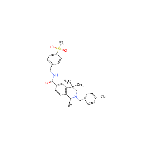 CCS(=O)(=O)c1ccc(CNC(=O)c2ccc3c(c2)C(C)(C)CN(Cc2ccc(C#N)cc2)[C@H]3C(C)C)cc1